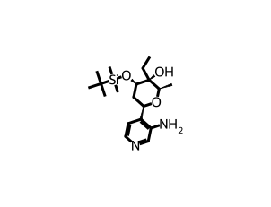 CC[C@]1(O)[C@@H](C)O[C@@H](c2ccncc2N)C[C@H]1O[Si](C)(C)C(C)(C)C